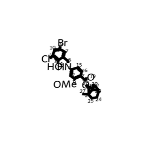 COc1cc(NCc2cc(Br)cc(Cl)c2O)ccc1C(=O)OC1CC2CCC1(C)C2(C)C